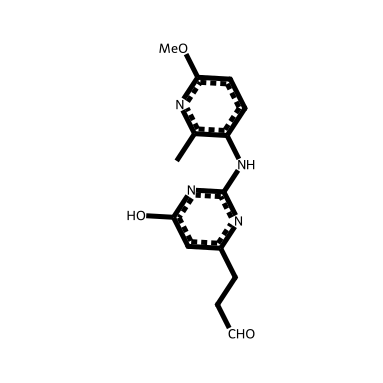 COc1ccc(Nc2nc(O)cc(CCC=O)n2)c(C)n1